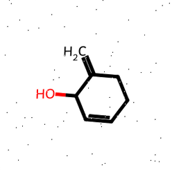 C=C1CCC=CC1O